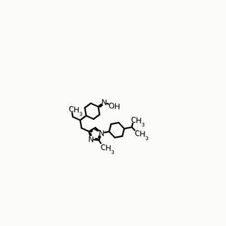 CCC(Cc1cn(C2CCC(C(C)C)CC2)c(C)n1)C1CCC(=NO)CC1